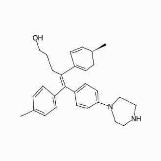 Cc1ccc(/C(=C(\CCCO)C2=CC[C@H](C)C=C2)c2ccc(N3CCNCC3)cc2)cc1